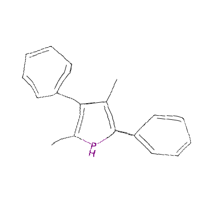 Cc1[pH]c(-c2ccccc2)c(C)c1-c1ccccc1